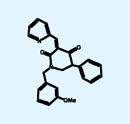 COc1cccc(CN2CC(c3ccccc3)C(=O)C(=Cc3ccccn3)C2=O)c1